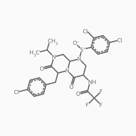 CC(C)N1CC2N(C(=O)C(NC(=O)C(F)(F)F)CN2[S+]([O-])c2ccc(Cl)cc2Cl)C(Cc2ccc(Cl)cc2)C1=O